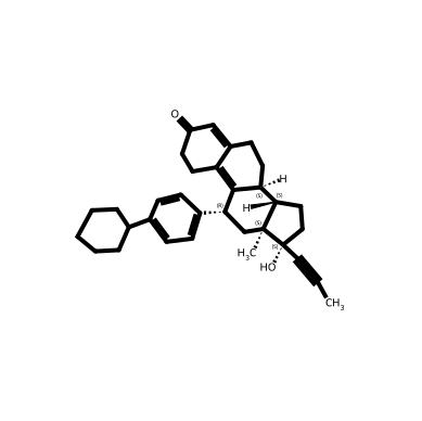 CC#C[C@]1(O)CC[C@H]2[C@@H]3CCC4=CC(=O)CCC4=C3[C@@H](c3ccc(C4CCCCC4)cc3)C[C@@]21C